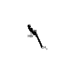 Br.CCCCCCCCCCCCCCOc1ccc(C(=O)Nc2ccc(CN3C=CSC3)cc2)c(Cl)c1